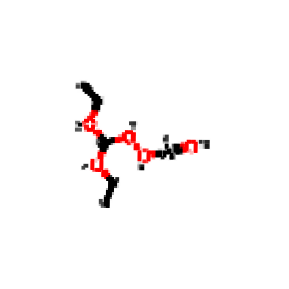 CCOC(OCC)O[O][Al]=[O]